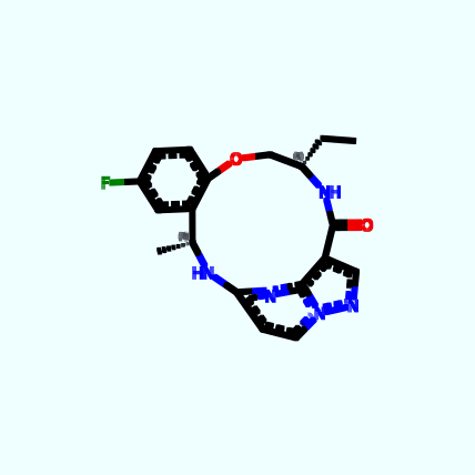 CC[C@H]1COc2ccc(F)cc2[C@@H](C)Nc2ccn3ncc(c3n2)C(=O)N1